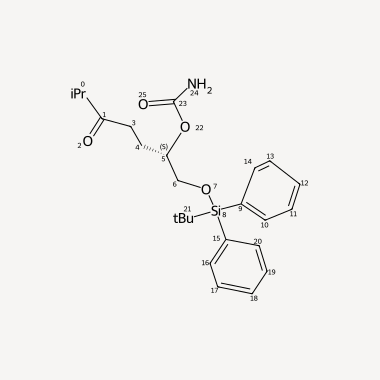 CC(C)C(=O)CC[C@@H](CO[Si](c1ccccc1)(c1ccccc1)C(C)(C)C)OC(N)=O